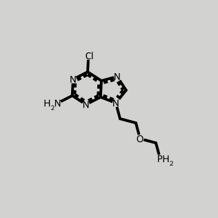 Nc1nc(Cl)c2ncn(CCOCP)c2n1